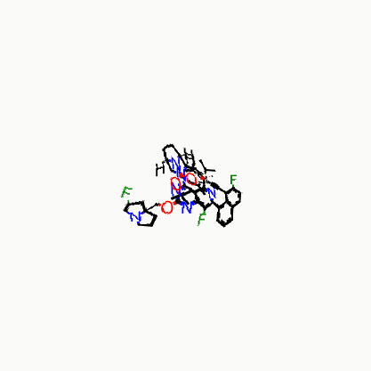 CC(C)[Si](C#Cc1c(F)ccc2cccc(-c3nc4c5c(nc(OC[C@@]67CCCN6C[C@H](F)C7)nc5c3F)N3C[C@H]5CC[C@@H]([C@@H]3C[C@@H]4C)N5C(=O)OC(C)(C)C)c12)(C(C)C)C(C)C